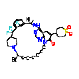 CCC1CCCCCCn2c(=O)c(C3CCS(=O)(=O)CC3)cc3c(ncnc32)N[C@H](C)c2cccc(c2F)C(F)(F)C2CCN1CC2